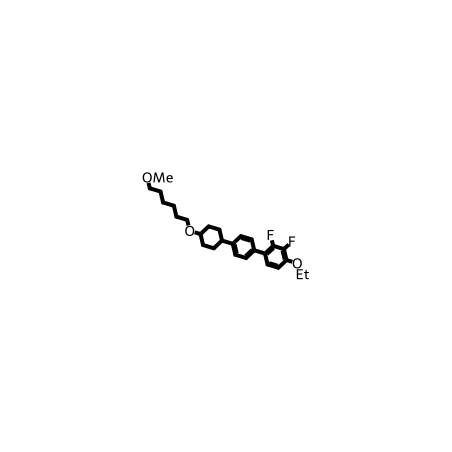 CCOc1ccc(-c2ccc(C3CCC(OCCCCCCOC)CC3)cc2)c(F)c1F